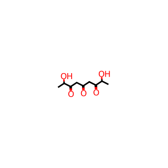 CC(O)C(=O)CC(=O)CC(=O)C(C)O